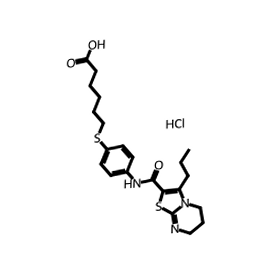 CCCC1=C(C(=O)Nc2ccc(SCCCCCC(=O)O)cc2)SC2=NCCCN21.Cl